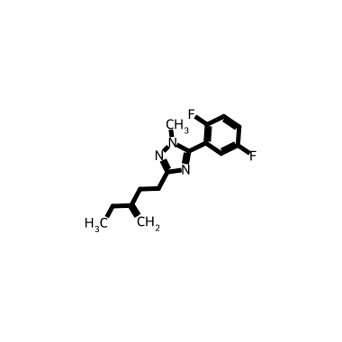 C=C(CC)CCc1nc(-c2cc(F)ccc2F)n(C)n1